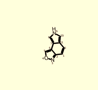 c1cc2nocc2c2c[nH]cc12